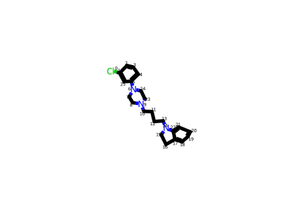 Clc1cccc(N2CCN(CCCCN3CCc4ccccc43)CC2)c1